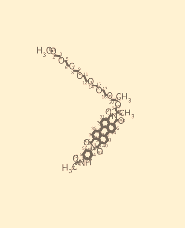 COCCOCCOCCOCCOCCOCCOCC(C)OCC(C)N1C(=O)c2ccc3c4ccc5c6c(ccc(c7ccc(c2c37)C1=O)c64)C(=O)N(c1ccc(NC(C)=O)cc1)C5=O